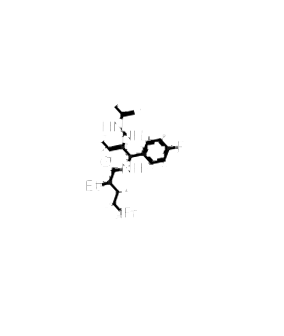 C=C(C)NN/C(=C\C)C(NC(=O)C(CC)CCC(C)C)c1ccc(F)cc1